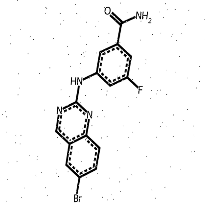 NC(=O)c1cc(F)cc(Nc2ncc3cc(Br)ccc3n2)c1